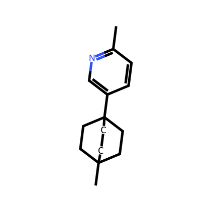 Cc1ccc(C23CCC(C)(CC2)CC3)cn1